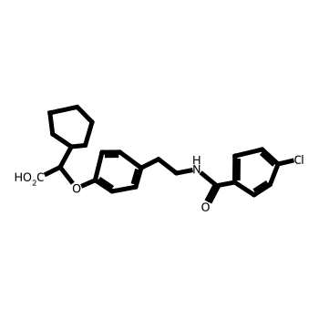 O=C(NCCc1ccc(OC(C(=O)O)C2CCCCC2)cc1)c1ccc(Cl)cc1